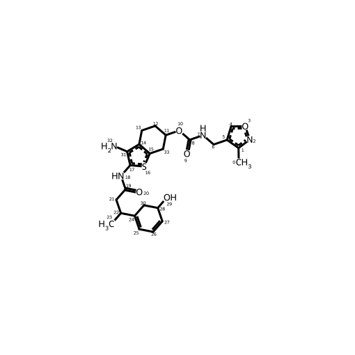 Cc1nocc1CNC(=O)OC1CCc2c(sc(NC(=O)CC(C)C3=CC=CC(O)C3)c2N)C1